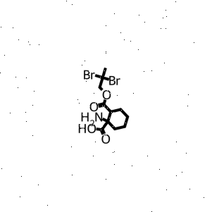 CC(Br)(Br)COC(=O)C1CCCCC1(N)C(=O)O